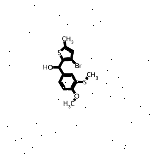 COc1ccc(C(O)c2sc(C)cc2Br)cc1SC